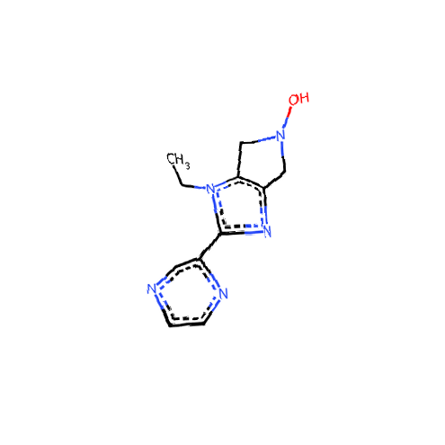 CCn1c(-c2cnccn2)nc2c1CN(O)C2